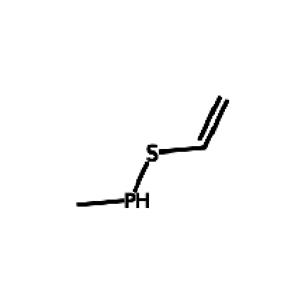 C=CSPC